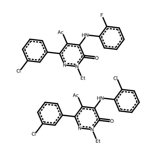 CCn1nc(-c2cccc(Cl)c2)c(C(C)=O)c(Nc2ccccc2Cl)c1=O.CCn1nc(-c2cccc(Cl)c2)c(C(C)=O)c(Nc2ccccc2F)c1=O